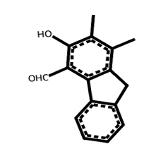 Cc1c(C)c2c(c(C=O)c1O)-c1ccccc1C2